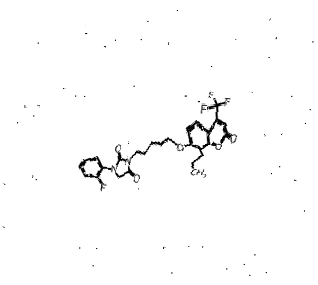 CCCc1c(OCCCCCN2C(=O)CN(c3ccccc3F)C2=O)ccc2c(C(F)(F)F)cc(=O)oc12